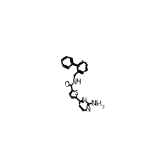 Nc1nccc(-c2ccc(C(=O)NCc3ccccc3-c3ccccc3)s2)n1